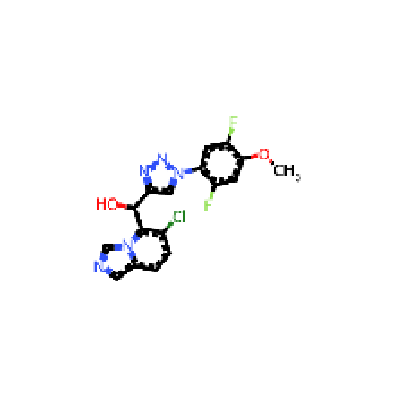 COc1cc(F)c(-n2cc(C(O)c3c(Cl)ccc4cncn34)nn2)cc1F